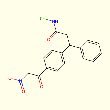 O=C(CC(c1ccccc1)c1ccc(C(=O)C[N+](=O)[O-])cc1)NCl